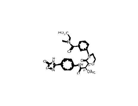 CC(=O)O[C@@H](C(=O)Nc1ccc(-c2noc(=O)[nH]2)cc1)[C@H]1OCCN(c2cccc(C(=O)N(C)CC(=O)O)c2)C1=O